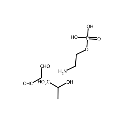 CC(O)C(=O)O.NCCOP(=O)(O)O.O=CCC=O